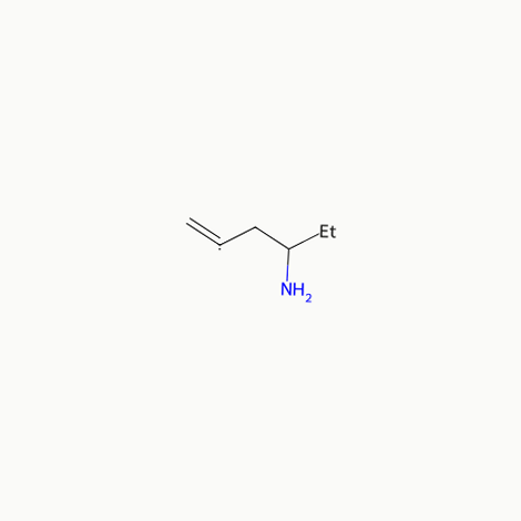 C=[C]CC(N)CC